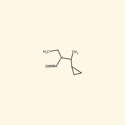 CCN([C]=O)C(C)C1CC1